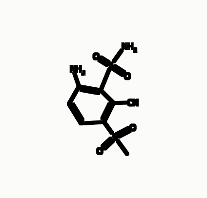 CS(=O)(=O)c1ccc(N)c(S(N)(=O)=O)c1C#N